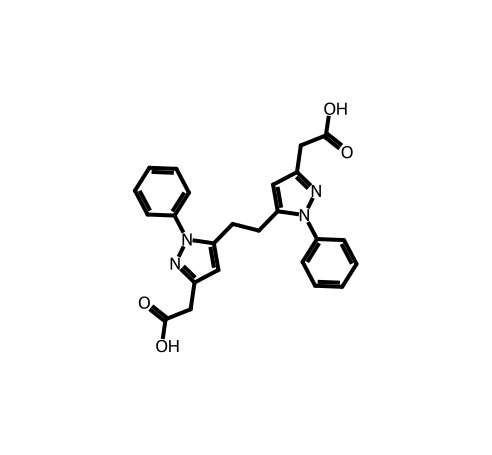 O=C(O)Cc1cc(CCc2cc(CC(=O)O)nn2-c2ccccc2)n(-c2ccccc2)n1